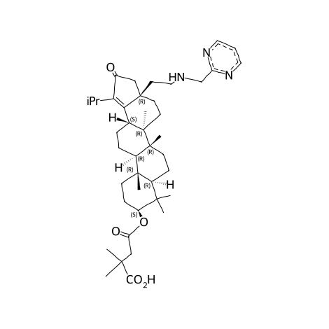 CC(C)C1=C2[C@H]3CC[C@@H]4[C@@]5(C)CC[C@H](OC(=O)CC(C)(C)C(=O)O)C(C)(C)[C@@H]5CC[C@@]4(C)[C@]3(C)CC[C@@]2(CCNCc2ncccn2)CC1=O